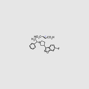 CC(c1ccccc1)N1CCC(c2noc3cc(F)ccc23)C1.O=C(O)/C=C/C(=O)O